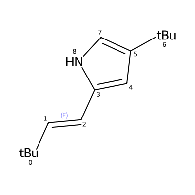 CC(C)(C)/C=C/c1cc(C(C)(C)C)c[nH]1